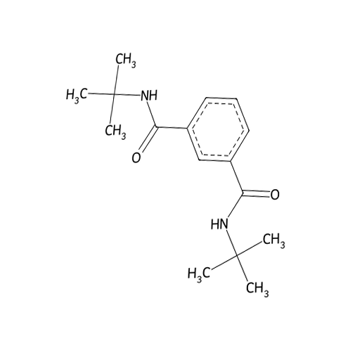 CC(C)(C)NC(=O)c1cccc(C(=O)NC(C)(C)C)c1